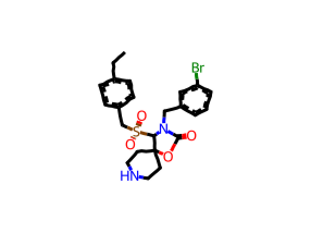 CCc1ccc(CS(=O)(=O)C2N(Cc3cccc(Br)c3)C(=O)OC23CCNCC3)cc1